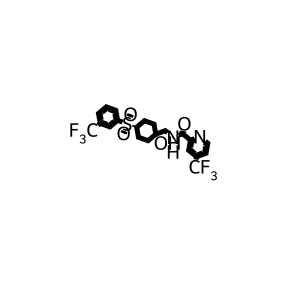 O=C(NC[C@]1(O)CC[C@@H](S(=O)(=O)c2cccc(C(F)(F)F)c2)CC1)c1cc(C(F)(F)F)ccn1